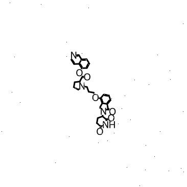 O=C1CCC(N2Cc3c(OCCCN4CCCC4C(=O)Oc4cccc5cnccc45)cccc3C2=O)C(=O)N1